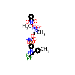 Cc1ccc(-c2cc(C(F)(F)F)nn2-c2ccc(S(=O)(=O)NC(=O)OCCN(C)/[N+]([O-])=N/OC(C)N3C(=O)c4ccccc4C3=O)cc2)cc1